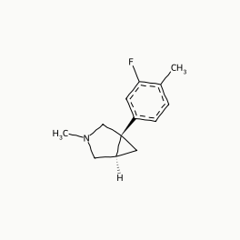 Cc1ccc([C@@]23C[C@H]2CN(C)C3)cc1F